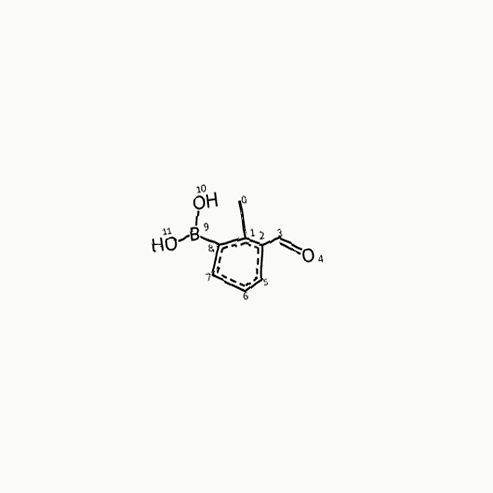 Cc1c(C=O)cccc1B(O)O